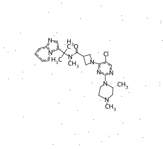 C[C@@H]1CN(C)CCN1c1ncc(Cl)c(N2CC(C(=O)N(C)C(C)(C)c3cnc4ccccn34)C2)n1